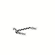 CCCCCCCCCCCCCCCCCCCc1n(C(C)C)cc[n+]1CCCCCC